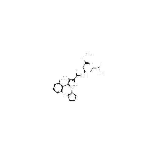 CCN(CC)CC[C@@H](CC(=O)OC(C)(C)C)NC(=O)c1cc(-c2c(OC)cccc2OC)n(C2CCCC2)n1